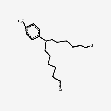 Cc1ccc(N(CCCCCCCl)CCCCCCCl)cc1